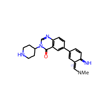 CN/C=C1/C=C(c2ccc3ncn(C4CCNCC4)c(=O)c3c2)C=CC1=N